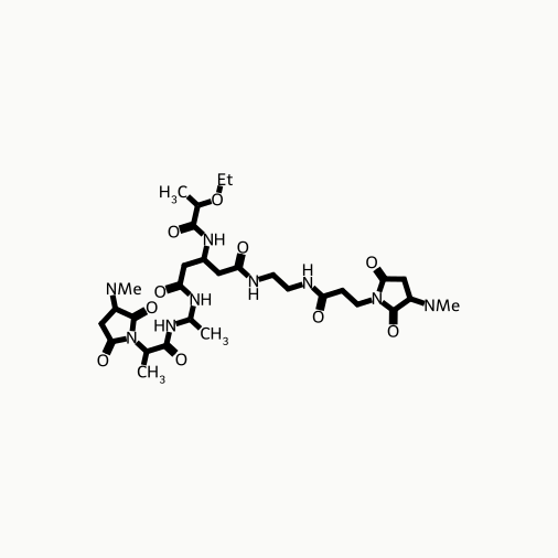 CCOC(C)C(=O)NC(CC(=O)NCCNC(=O)CCN1C(=O)CC(NC)C1=O)CC(=O)NC(C)NC(=O)C(C)N1C(=O)CC(NC)C1=O